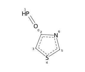 O=P.c1cscn1